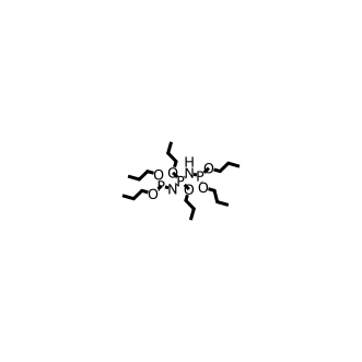 CCCOP(N=P(NP(OCCC)OCCC)(OCCC)OCCC)OCCC